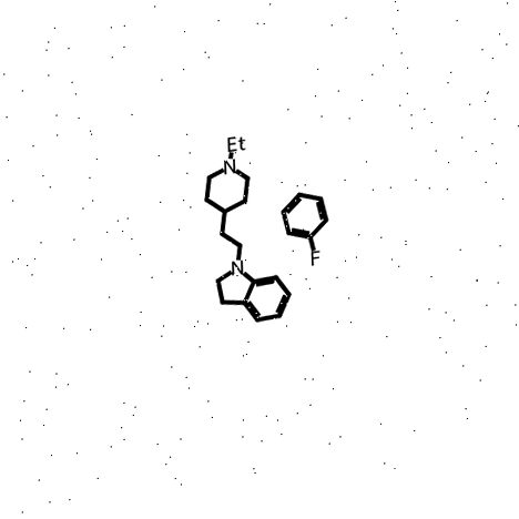 CCN1CCC(CCN2CCc3ccccc32)CC1.Fc1ccccc1